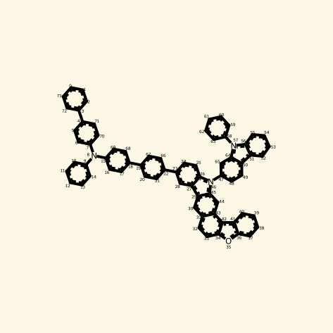 c1ccc(-c2ccc(N(c3ccccc3)c3ccc(-c4ccc(-c5ccc6c(c5)c5cc7ccc8oc9ccccc9c8c7cc5n6-c5ccc6c7ccccc7n(-c7ccccc7)c6c5)cc4)cc3)cc2)cc1